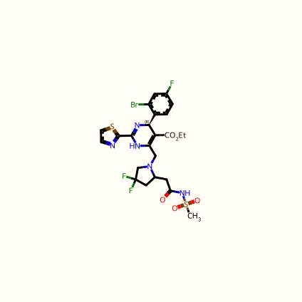 CCOC(=O)C1=C(CN2CC(F)(F)CC2CC(=O)NS(C)(=O)=O)NC(c2nccs2)=N[C@H]1c1ccc(F)cc1Br